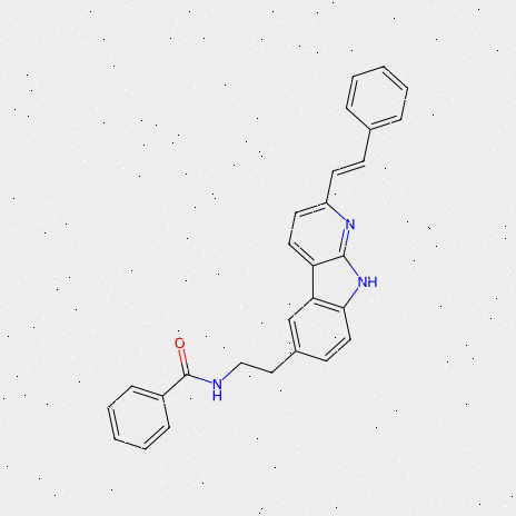 O=C(NCCc1ccc2[nH]c3nc(C=Cc4ccccc4)ccc3c2c1)c1ccccc1